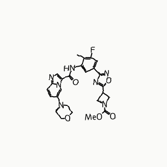 COC(=O)N1CC(c2nc(-c3cc(F)c(C)c(NC(=O)c4cnc5ccc(N6CCOCC6)cn45)c3)no2)C1